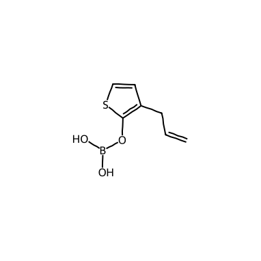 C=CCc1ccsc1OB(O)O